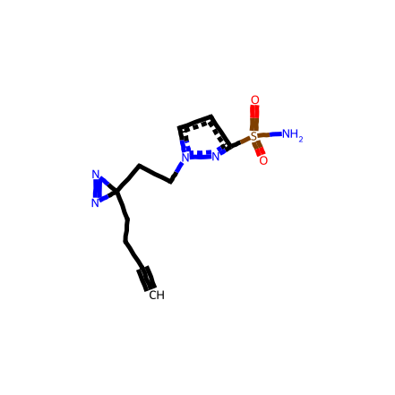 C#CCCC1(CCn2ccc(S(N)(=O)=O)n2)N=N1